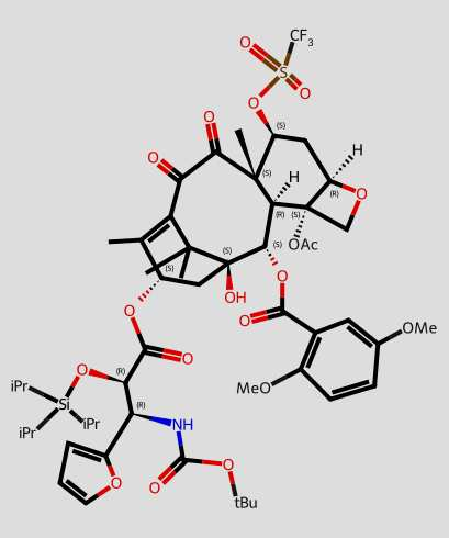 COc1ccc(OC)c(C(=O)O[C@H]2[C@@H]3[C@]4(OC(C)=O)CO[C@@H]4C[C@H](OS(=O)(=O)C(F)(F)F)[C@@]3(C)C(=O)C(=O)C3=C(C)[C@@H](OC(=O)[C@H](O[Si](C(C)C)(C(C)C)C(C)C)[C@@H](NC(=O)OC(C)(C)C)c4ccco4)C[C@]2(O)C3(C)C)c1